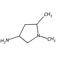 CC1CC(N)CN1C